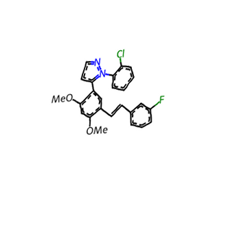 COc1cc(OC)c(-c2ccnn2-c2ccccc2Cl)cc1/C=C/c1cccc(F)c1